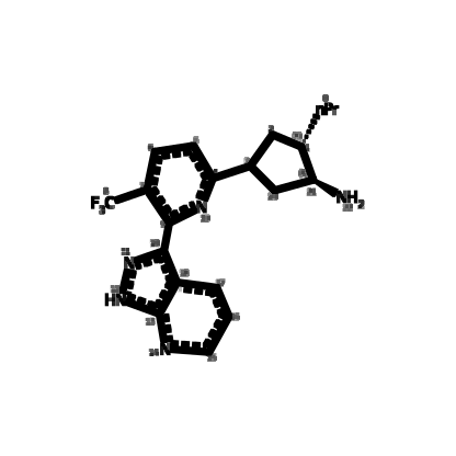 CCC[C@H]1CC(c2ccc(C(F)(F)F)c(-c3n[nH]c4ncccc34)n2)C[C@@H]1N